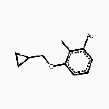 CC(=O)c1cccc(OCC2CC2)c1C